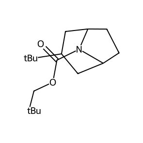 CC(C)(C)COC(=O)N1C2CCC1CC(C(C)(C)C)C2